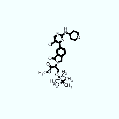 COC(=O)C(CO[Si](C)(C)C(C)(C)C)N1Cc2ccc(-c3nc(NC4CCOCC4)ncc3Cl)cc2C1=O